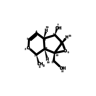 C[C@@H]1OC=C[C@H]2[C@H](O)[C@@H]3O[C@]3(CO)[C@H]21